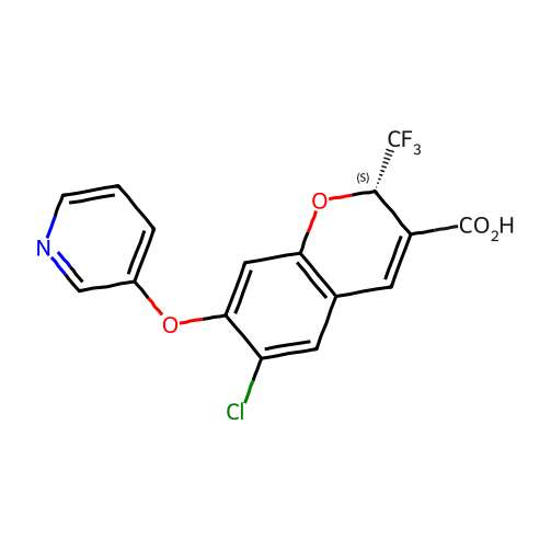 O=C(O)C1=Cc2cc(Cl)c(Oc3cccnc3)cc2O[C@@H]1C(F)(F)F